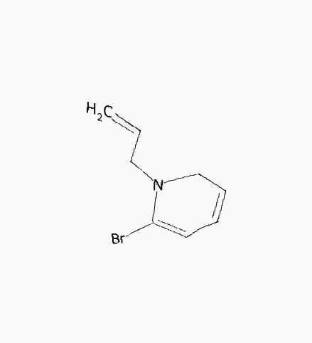 C=CCN1CC=CC=C1Br